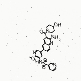 COc1ncc(-c2ccc3nc(N)c(C(=O)N4CCC(O)CC4)cc3c2)cc1NS(=O)(=O)c1cccnc1